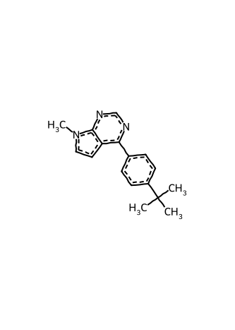 Cn1ccc2c(-c3ccc(C(C)(C)C)cc3)ncnc21